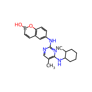 Cc1cnc(Nc2ccc3c(c2)C=CB(O)O3)nc1NC1CCCCC1C#N